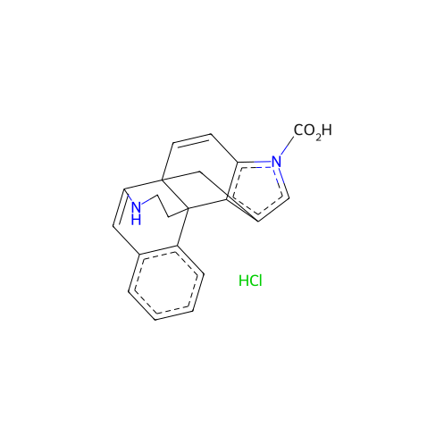 Cl.O=C(O)n1cc2c3c1C=CC1(C2)C2=Cc4ccccc4C31CCN2